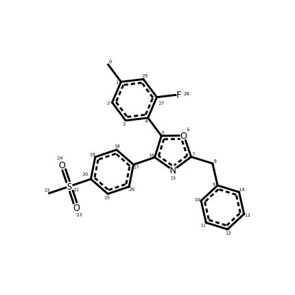 Cc1ccc(-c2oc(Cc3ccccc3)nc2-c2ccc(S(C)(=O)=O)cc2)c(F)c1